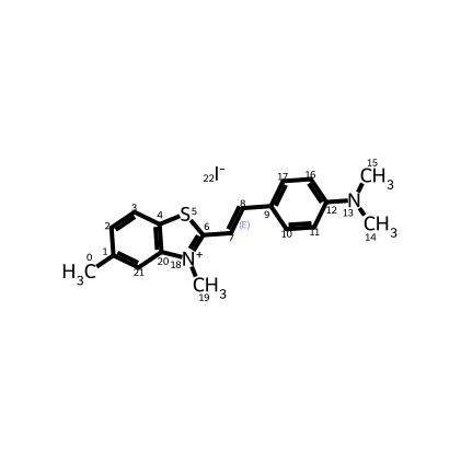 Cc1ccc2sc(/C=C/c3ccc(N(C)C)cc3)[n+](C)c2c1.[I-]